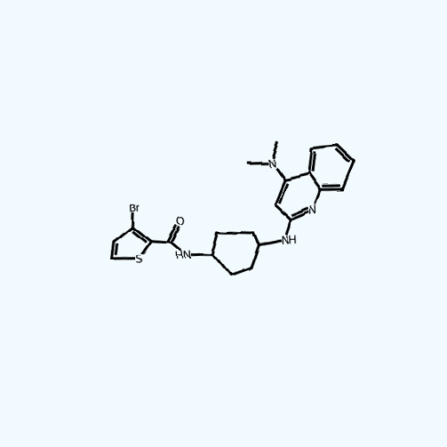 CN(C)c1cc(NC2CCC(NC(=O)c3sccc3Br)CC2)nc2ccccc12